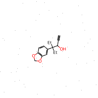 C#CC(O)C(CC)(CC)c1ccc2c(c1)OCO2